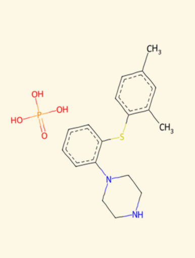 Cc1ccc(Sc2ccccc2N2CCNCC2)c(C)c1.O=P(O)(O)O